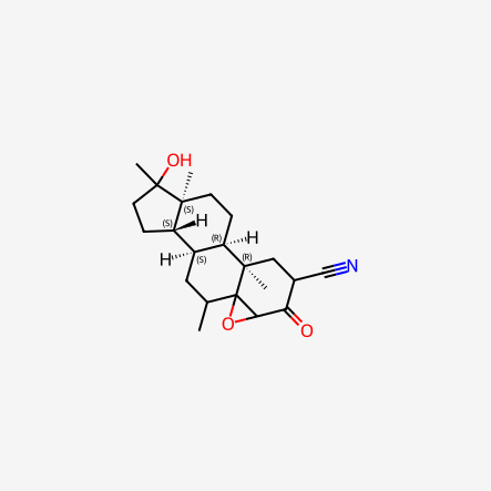 CC1C[C@@H]2[C@@H](CC[C@@]3(C)[C@H]2CCC3(C)O)[C@@]2(C)CC(C#N)C(=O)C3OC132